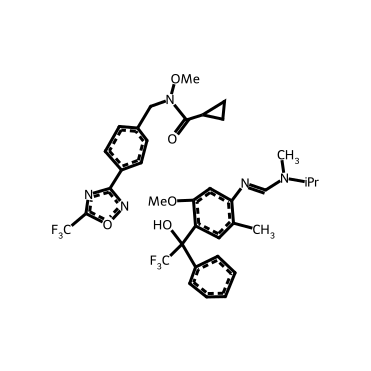 CON(Cc1ccc(-c2noc(C(F)(F)F)n2)cc1)C(=O)C1CC1.COc1cc(N=CN(C)C(C)C)c(C)cc1C(O)(c1ccccc1)C(F)(F)F